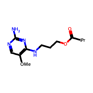 COc1cnc(N)nc1NCCCOC(=O)C(C)C